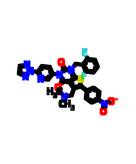 CN(C)Cc1c(-c2ccc([N+](=O)[O-])cc2)sc2c1c(=O)n(-c1ccc(-n3nccn3)nc1)c(=O)n2Cc1c(F)cccc1F